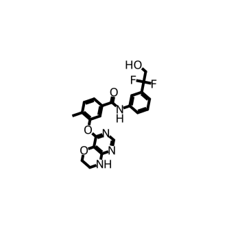 Cc1ccc(C(=O)Nc2cccc(C(F)(F)CO)c2)cc1Oc1ncnc2c1OCCN2